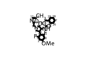 COc1cc(F)c(C2CN(Cc3ncc(C)o3)C(=O)C2NC(=O)OCc2ccccc2)c(F)c1